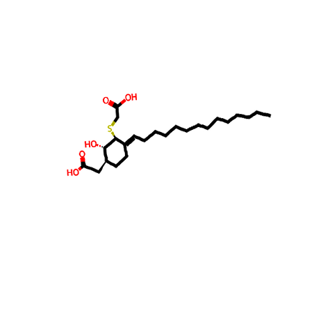 CCCCCCCCCCCCC/C=C1\CC[C@@H](CC(=O)O)[C@H](O)[C@H]1SCC(=O)O